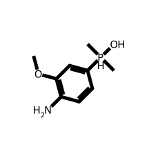 COc1cc([PH](C)(C)O)ccc1N